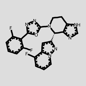 Fc1cccc(F)c1-c1nnc(N2CCc3[nH]cnc3[C@@H]2c2cc3c(F)cccn3n2)o1